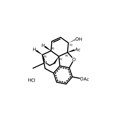 CC(=O)Oc1ccc2c3c1O[C@@]1(C(C)=O)[C@@H](O)C=C[C@H]4[C@@H](C2)N(C)CC[C@@]341.Cl